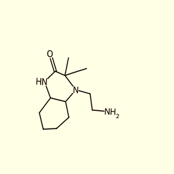 CC1(C)C(=O)NC2CCCCC2N1CCN